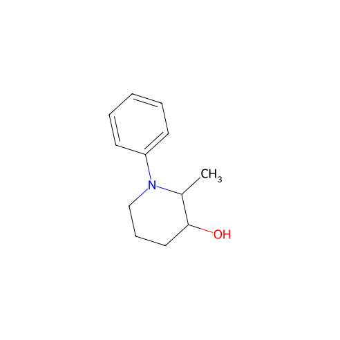 CC1C(O)CCCN1c1ccccc1